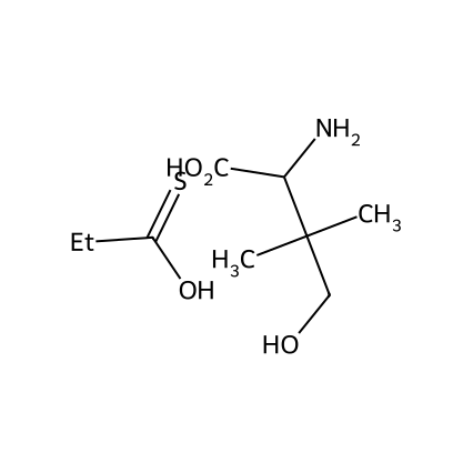 CC(C)(CO)C(N)C(=O)O.CCC(O)=S